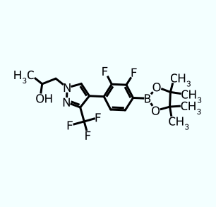 CC(O)Cn1cc(-c2ccc(B3OC(C)(C)C(C)(C)O3)c(F)c2F)c(C(F)(F)F)n1